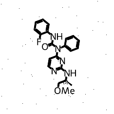 COC[C@H](C)Nc1nccc(N(C(=O)Nc2ccccc2F)c2ccccc2)n1